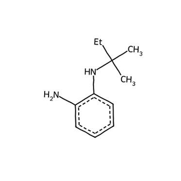 CCC(C)(C)Nc1ccccc1N